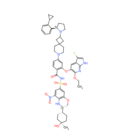 CCOc1nc2[nH]cc(F)c2cc1Oc1cc(N2CCC3(CC2)CC(N2CCC[C@@H]2c2ccccc2C2CC2)C3)ccc1C(=O)NS(=O)(=O)c1cc2c(c([N+](=O)[O-])c1)N[C@@H]([C@H]1CC[C@](C)(O)CC1)CO2